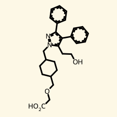 O=C(O)COCC1CCC(Cn2nc(-c3ccccc3)c(-c3ccccc3)c2CCO)CC1